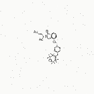 CC(=O)CCC(C(C)=O)N1Cc2c(OCc3ccc(CN4C(C)(C)C(C)(C)OC(C)(C)C4(C)C)cc3)cccc2C1=O